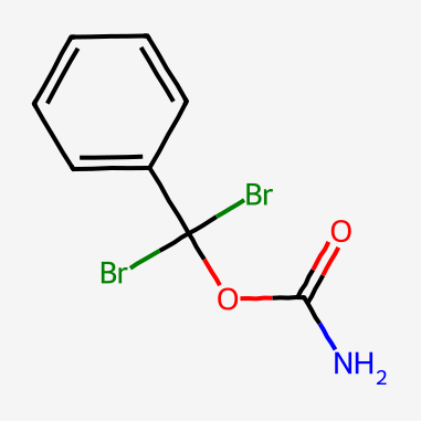 NC(=O)OC(Br)(Br)c1ccccc1